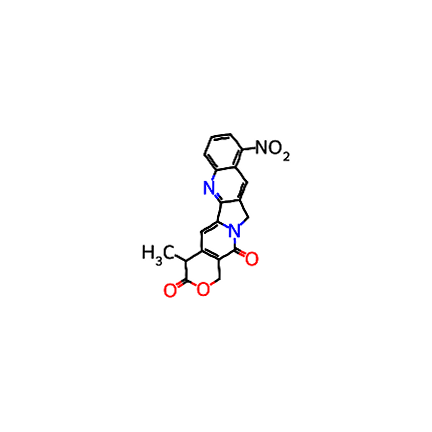 CC1C(=O)OCc2c1cc1n(c2=O)Cc2cc3c([N+](=O)[O-])cccc3nc2-1